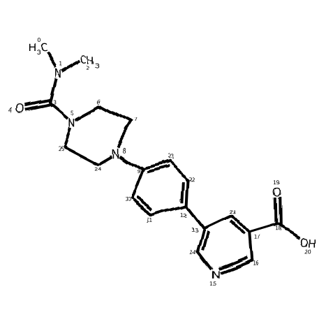 CN(C)C(=O)N1CCN(c2ccc(-c3cncc(C(=O)O)c3)cc2)CC1